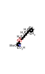 COc1cc(C(=O)OC(=O)/C=C(C)/C=C/C=C(C)/C=C/C2=C(C)CCCC2(C)C)cnc1C(=O)O